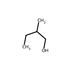 [CH2]C(CC)CO